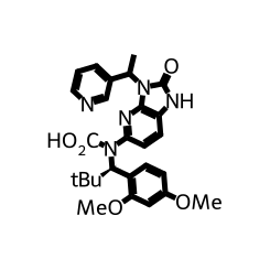 COc1ccc([C@H](N(C(=O)O)c2ccc3[nH]c(=O)n(C(C)c4cccnc4)c3n2)C(C)(C)C)c(OC)c1